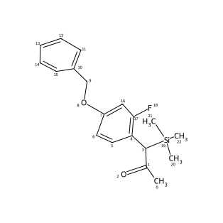 CC(=O)C(c1ccc(OCc2ccccc2)cc1F)[Si](C)(C)C